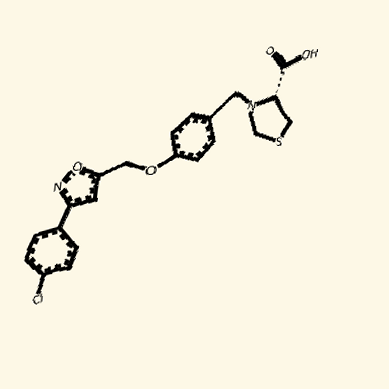 O=C(O)[C@@H]1CSCN1Cc1ccc(OCc2cc(-c3ccc(Cl)cc3)no2)cc1